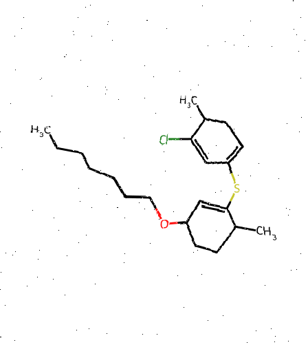 CCCCCCCOC1C=C(SC2=CCC(C)C(Cl)=C2)C(C)CC1